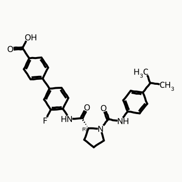 CC(C)c1ccc(NC(=O)N2CCC[C@@H]2C(=O)Nc2ccc(-c3ccc(C(=O)O)cc3)cc2F)cc1